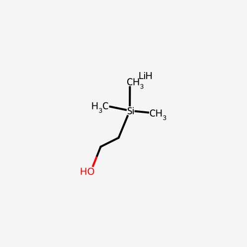 C[Si](C)(C)CCO.[LiH]